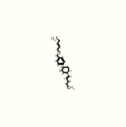 CCC=CCOCc1ccc([C@H]2CC[C@H](C=CCCC)CC2)cc1